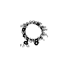 CCCN1CC(=O)N(C)CC(=O)N(C)[C@@H](CC2CCCCC2)C(=O)N(C)CC(=O)N[C@@H](CCc2ccc(C(F)(F)F)c(Cl)c2)C(=O)N2CCC[C@H]2C(=O)NC2(CCCC2)C(=O)N(C)[C@@H](C(C)C)C(=O)N[C@H](C)CC(=O)N(C)[C@@H](CC(C)C)C(=O)N[C@@H]([C@@H](C)CC)C1=O